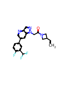 C=CC1CN(C(=O)Cn2ncc3ncc(-c4ccc(F)c(C(F)F)c4)cc32)C1